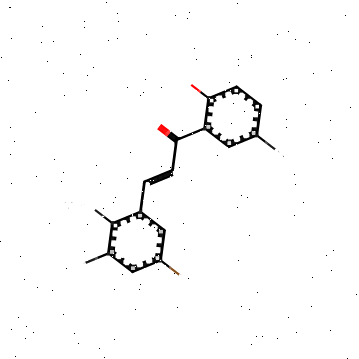 COc1c(/C=C/C(=O)c2cc(N=O)ccc2O)cc(Br)cc1C(C)(C)C